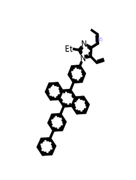 C=Cc1c(/C=C\C)nc(CC)n1-c1ccc(-c2c3ccccc3c(-c3ccc(-c4ccccc4)cc3)c3ccccc23)cc1